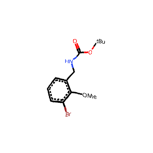 COc1c(Br)cccc1CNC(=O)OC(C)(C)C